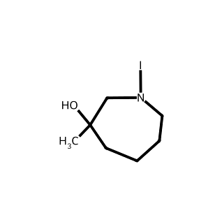 CC1(O)CCCCN(I)C1